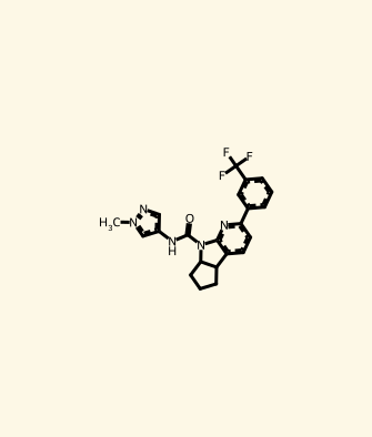 Cn1cc(NC(=O)N2c3nc(-c4cccc(C(F)(F)F)c4)ccc3C3CCCC32)cn1